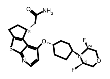 NC(=O)C[C@H]1CCc2sc3nccc(O[C@H]4CC[C@H](N5[C@H](F)COC[C@@H]5F)CC4)c3c21